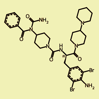 NC(=O)N(C(=O)c1ccccc1)C1CCN(C(=O)N[C@H](Cc2cc(Br)c(N)c(Br)c2)C(=O)N2CCC(N3CCCCC3)CC2)CC1